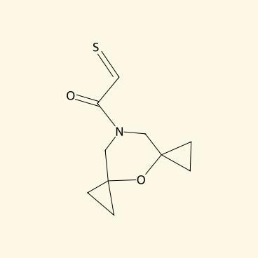 O=C(C=S)N1CC2(CC2)OC2(CC2)C1